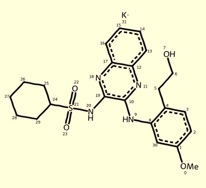 COc1ccc(CCO)c(Nc2nc3ccccc3nc2NS(=O)(=O)C2CCCCC2)c1.[K]